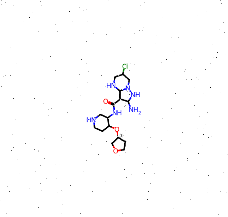 NC1NN2CC(Cl)CNC2C1C(=O)NC1CNCCC1O[C@H]1CCOC1